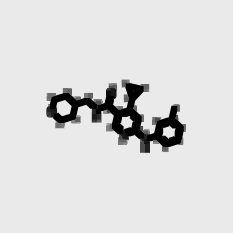 Cc1cccc(Nc2cc(C3CC3)c(C(=O)NCC3CCOCC3)cn2)c1